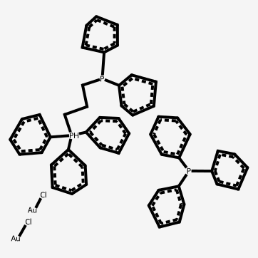 [Cl][Au].[Cl][Au].c1ccc(P(CCC[PH](c2ccccc2)(c2ccccc2)c2ccccc2)c2ccccc2)cc1.c1ccc(P(c2ccccc2)c2ccccc2)cc1